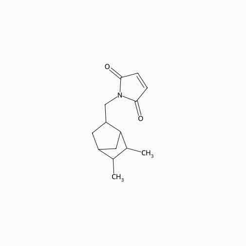 CC1C2CC(CN3C(=O)C=CC3=O)C(C2)C1C